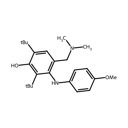 COc1ccc(Nc2c(CN(C)C)cc(C(C)(C)C)c(O)c2C(C)(C)C)cc1